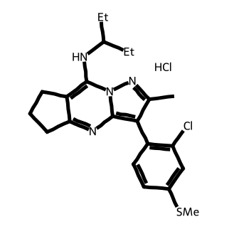 CCC(CC)Nc1c2c(nc3c(-c4ccc(SC)cc4Cl)c(C)nn13)CCC2.Cl